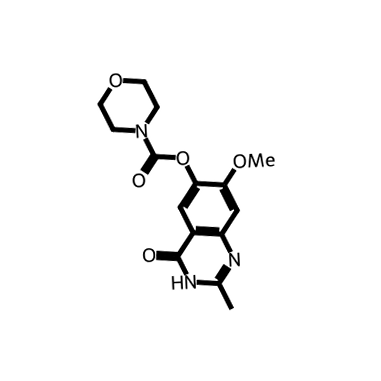 COc1cc2nc(C)[nH]c(=O)c2cc1OC(=O)N1CCOCC1